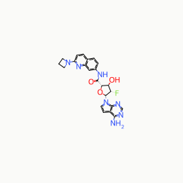 Nc1ncnc2c1ccn2[C@@H]1O[C@H](C(=O)Nc2ccc3ccc(N4CCC4)nc3c2)[C@@H](O)[C@@H]1F